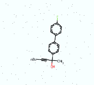 CCCCC#CC(C)(O)c1ccc(-c2ccc(F)cc2)cc1